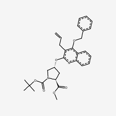 C=CCc1c(O[C@@H]2C[C@@H](C(=O)OC)N(C(=O)OC(C)(C)C)C2)nc2ccccc2c1OCc1ccccc1